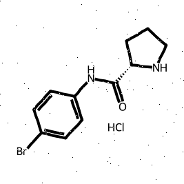 Cl.O=C(Nc1ccc(Br)cc1)[C@@H]1CCCN1